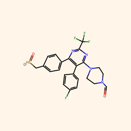 O=CN1CCN(c2nc(C(F)(F)F)nc(-c3ccc(C[SH](=O)=O)cc3)c2-c2ccc(F)cc2)CC1